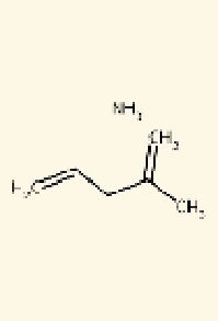 C=CCC(=C)C.N